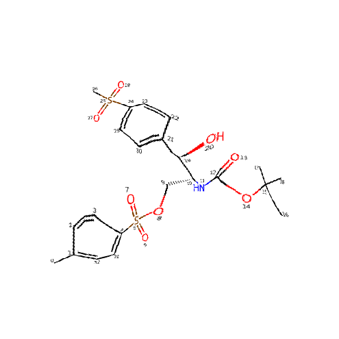 Cc1ccc(S(=O)(=O)OC[C@@H](NC(=O)OC(C)(C)C)[C@H](O)c2ccc(S(C)(=O)=O)cc2)cc1